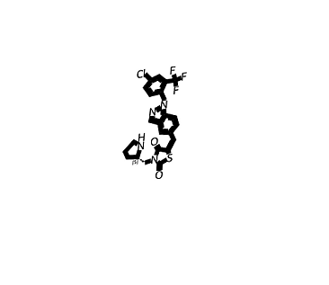 O=C1SC(=Cc2ccc3c(cnn3Cc3ccc(Cl)cc3C(F)(F)F)c2)C(=O)N1C[C@@H]1CCCN1